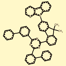 CC1(C)c2cc(-n3c4ccccc4c4cccnc43)ccc2-c2c(-c3nc(-c4cccc(-c5ccccc5)c4)nc(-c4ccccc4-c4ccccc4)n3)cccc21